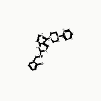 Clc1ccccc1CNc1ncc2c(N3CCN(c4ccccn4)CC3)nccc2n1